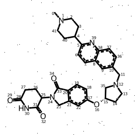 CN1CCC(c2ccc3cc(CN4CC[C@H](Oc5ccc6c(c5)CN(C5CCC(=O)NC5=O)C6=O)C4)ccc3n2)CC1